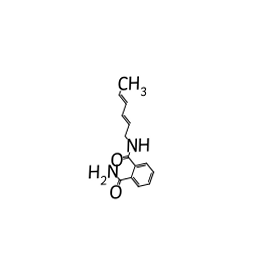 CC=CC=CCNC(=O)c1ccccc1C(N)=O